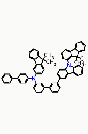 CC1(C)c2ccccc2-c2cc(N(C3=CCCC(c4cccc(-c5ccc6c(c5)c5ccccc5n6-c5cccc6c5C(C)(C)c5ccccc5-6)c4)=C3)c3ccc(-c4ccccc4)cc3)ccc21